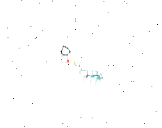 O=C(SCCC(F)CC(F)C(F)(F)C(F)(F)F)c1ccccc1